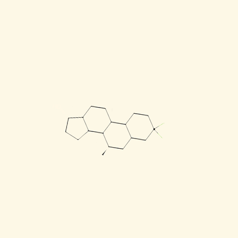 CC[C@@H]1CC2CC(F)(F)CC[C@]2(C)C2CC[C@@]3(C)C(CC[C@@H]3O)[C@@H]21